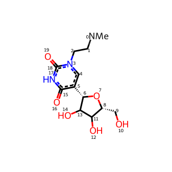 CNCCn1cc([C@@H]2O[C@H](CO)C(O)C2O)c(=O)[nH]c1=O